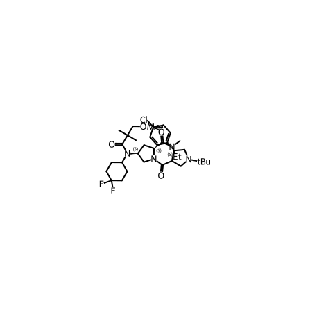 CCN(C)C(=O)[C@@H]1C[C@H](N(C(=O)C(C)(C)COC)C2CCC(F)(F)CC2)CN1C(=O)C1CN(C(C)(C)C)C[C@@H]1c1ccc(Cl)cc1